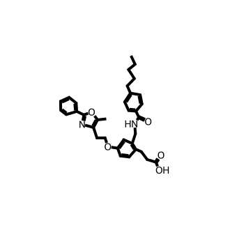 CCCCCc1ccc(C(=O)NCc2cc(OCCc3nc(-c4ccccc4)oc3C)ccc2CCC(=O)O)cc1